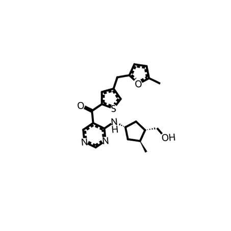 Cc1ccc(Cc2csc(C(=O)c3cncnc3N[C@@H]3C[C@H](CO)[C@@H](C)C3)c2)o1